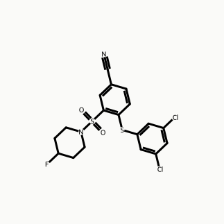 N#Cc1ccc(Sc2cc(Cl)cc(Cl)c2)c(S(=O)(=O)N2CCC(F)CC2)c1